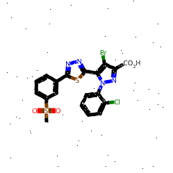 CS(=O)(=O)c1cccc(-c2nnc(-c3c(Br)c(C(=O)O)nn3-c3ccccc3Cl)s2)c1